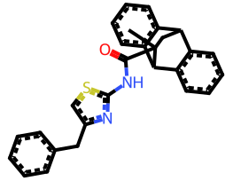 CC1(C(=O)Nc2nc(Cc3ccccc3)cs2)CC2c3ccccc3C1c1ccccc12